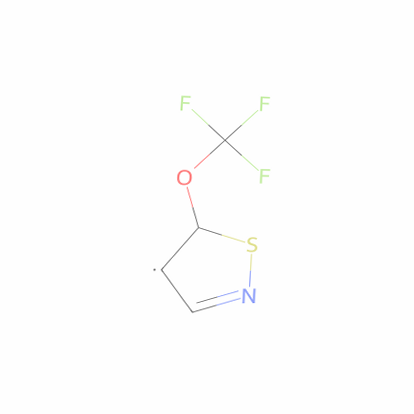 FC(F)(F)OC1[CH]C=NS1